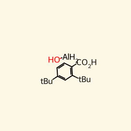 CC(C)(C)c1ccc(C(=O)O)c(C(C)(C)C)c1.[OH][AlH2]